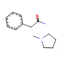 NC(=O)[C@H](CN1CC[C@H](O)C1)c1ccccc1